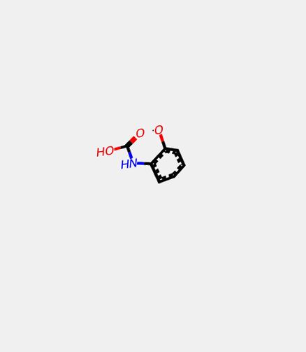 [O]c1ccccc1NC(=O)O